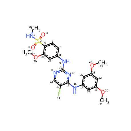 CNS(=O)(=O)c1ccc(Nc2ncc(F)c(Nc3cc(OC)cc(OC)c3)n2)cc1OC